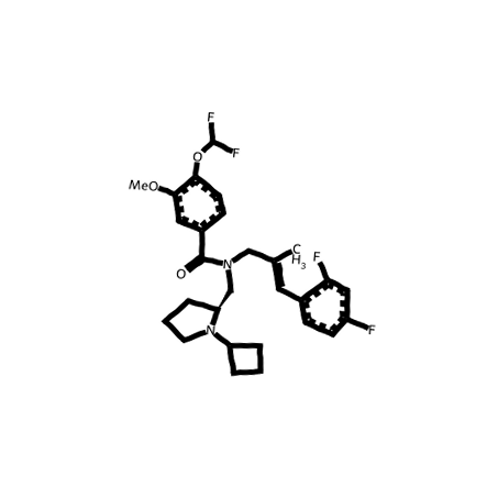 COc1cc(C(=O)N(CC(C)=Cc2ccc(F)cc2F)C[C@@H]2CCCN2C2CCC2)ccc1OC(F)F